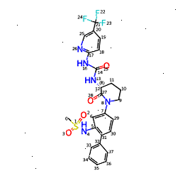 CS(=O)(=O)Nc1cc(N2CCC[C@@H](NC(=O)Nc3ccc(C(F)(F)F)cn3)C2=O)ccc1-c1ccccc1